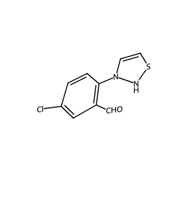 O=Cc1cc(Cl)ccc1N1C=CSN1